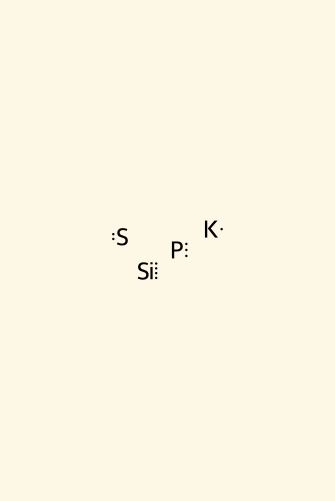 [K].[P].[S].[Si]